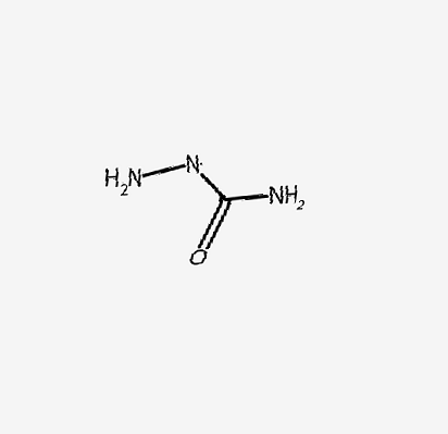 N[N]C(N)=O